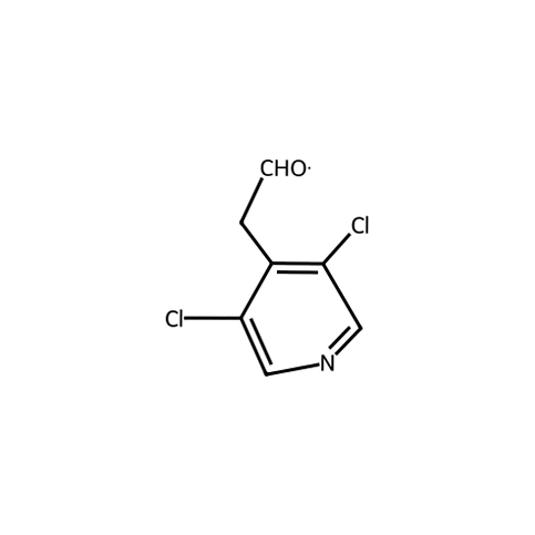 O=[C]Cc1c(Cl)cncc1Cl